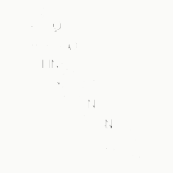 O=C(Nc1ccc(N2CCN(c3[c]cccc3)CC2)cc1)c1ccco1